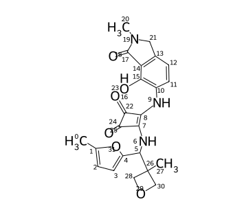 Cc1ccc(C(Nc2c(Nc3ccc4c(c3O)C(=O)N(C)C4)c(=O)c2=O)C2(C)COC2)o1